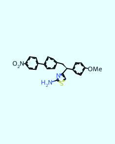 COc1ccc([C@H](Cc2ccc(-c3ccc([N+](=O)[O-])cc3)cc2)c2csc(N)n2)cc1